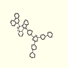 CC12C=CC=CC1c1c(c3ccccc3n1-c1ccc(-c3nc(-c4ccc(-c5ccccc5)cc4)cc(-c4ccc(-c5ccccc5)cc4)n3)cc1)C(c1cc3ccccc3c3ccccc13)=N2